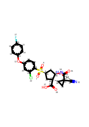 CO[C@@H]1C[C@H](S(=O)(=O)c2ccc(Oc3ccc(F)cc3)cc2Cl)C[C@@]1(C(=O)O)C1CC1(C#N)C(N)=O